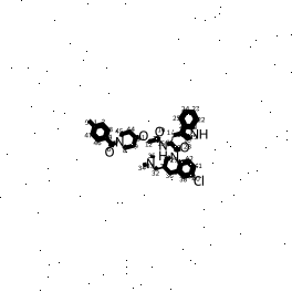 Cc1ccc(C(=O)N2CCC(OCC(=O)N[C@H](Cc3c[nH]c4ccccc34)C(=O)N3C[C@H](CN(C)C)Cc4cc(Cl)ccc43)CC2)cc1